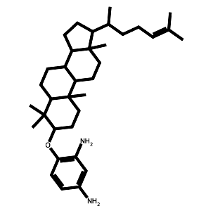 CC(C)=CCCC(C)C1CCC2C3CCC4C(C)(C)C(Oc5ccc(N)cc5N)CCC4(C)C3CCC12C